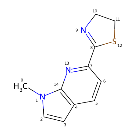 Cn1ccc2ccc(C3=NCCS3)nc21